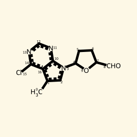 Cc1cn(C2CCC(C=O)O2)c2ncnc(Cl)c12